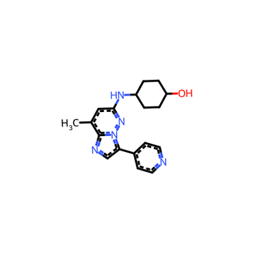 Cc1cc(NC2CCC(O)CC2)nn2c(-c3ccncc3)cnc12